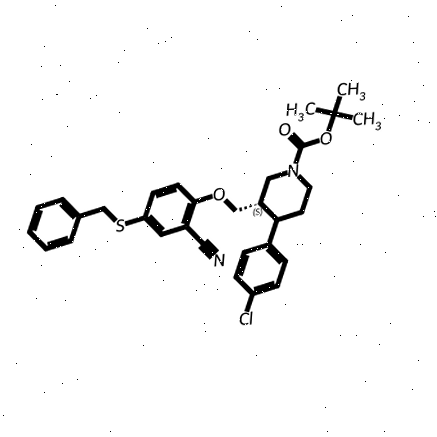 CC(C)(C)OC(=O)N1CCC(c2ccc(Cl)cc2)[C@H](COc2ccc(SCc3ccccc3)cc2C#N)C1